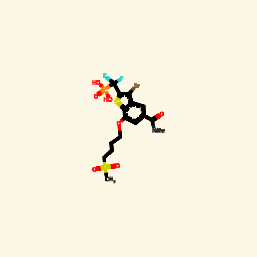 CNC(=O)c1cc(OCCCCS(C)(=O)=O)c2sc(C(F)(F)P(=O)(O)O)c(Br)c2c1